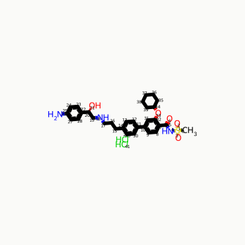 CS(=O)(=O)NC(=O)c1ccc(-c2ccc(CCCNC[C@H](O)c3ccc(N)cc3)cc2)cc1OC1CCCCC1.Cl.Cl